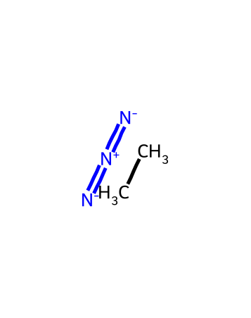 CC.[N-]=[N+]=[N-]